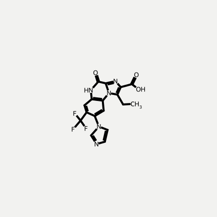 CCc1c(C(=O)O)nc2c(=O)[nH]c3cc(C(F)(F)F)c(-n4ccnc4)cc3n12